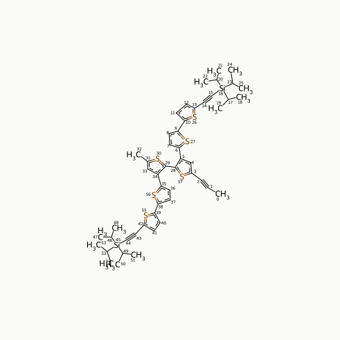 CC#Cc1cc(-c2ccc(-c3ccc(C#C[Si](C(C)C)(C(C)C)C(C)C)s3)s2)c(-c2sc(C)cc2-c2ccc(-c3ccc(C#C[Si](C(C)C)(C(C)C)C(C)C)s3)s2)s1